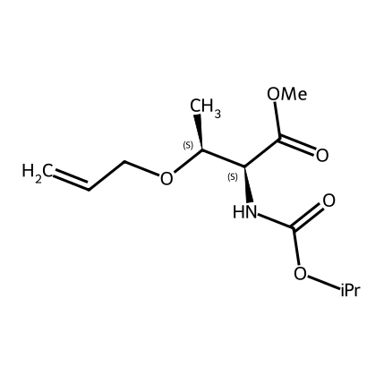 C=CCO[C@@H](C)[C@H](NC(=O)OC(C)C)C(=O)OC